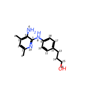 Cc1cc(C)c(N)c(Nc2ccc(CCCO)cc2)n1